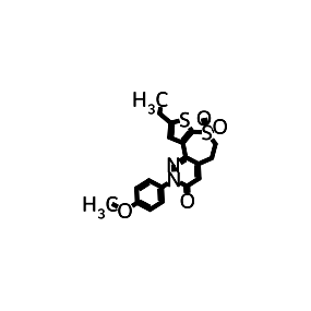 CCc1cc2c(s1)S(=O)(=O)CCc1cc(=O)n(-c3ccc(OC)cc3)nc1-2